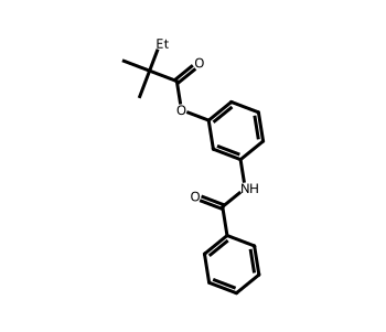 CCC(C)(C)C(=O)Oc1cccc(NC(=O)c2ccccc2)c1